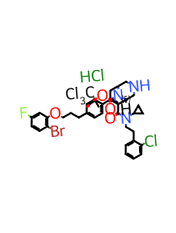 CC(C)(OC(=O)N1C2CNC[C@@H]1C(C(=O)N(CCc1ccccc1Cl)C1CC1)=C(c1ccc(CCCOc3cc(F)ccc3Br)cc1)C2)C(Cl)(Cl)Cl.Cl